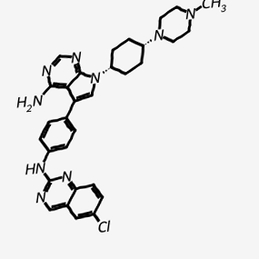 CN1CCN([C@H]2CC[C@@H](n3cc(-c4ccc(Nc5ncc6cc(Cl)ccc6n5)cc4)c4c(N)ncnc43)CC2)CC1